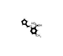 Cc1ccc(OCC2CCCC2)c(B(O)O)c1